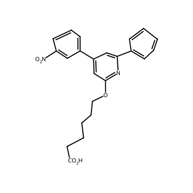 O=C(O)CCCCCOc1cc(-c2cccc([N+](=O)[O-])c2)cc(-c2ccccc2)n1